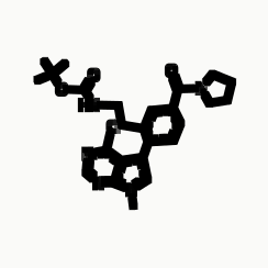 Cn1cc(-c2ccc(C(=O)N3CCCC3)cc2CCNC(=O)OC(C)(C)C)c2c(Cl)ncnc21